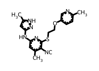 [C-]#[N+]c1c(C)cc(Nc2cc(C)[nH]n2)nc1SCCOc1ccc(C)nc1